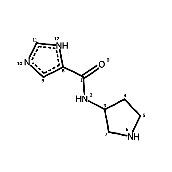 O=C(NC1CCNC1)c1cnc[nH]1